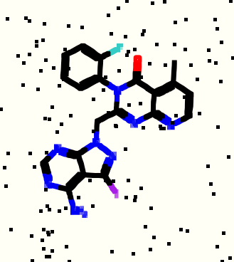 Cc1ccnc2nc(Cn3nc(I)c4c(N)ncnc43)n(-c3ccccc3F)c(=O)c12